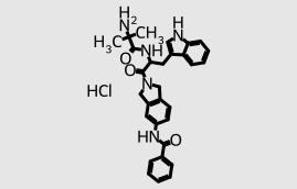 CC(C)(N)C(=O)NC(Cc1c[nH]c2ccccc12)C(=O)N1Cc2ccc(NC(=O)c3ccccc3)cc2C1.Cl